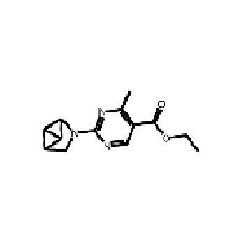 CCOC(=O)c1cnc(N2CC3C4C3C42)nc1C